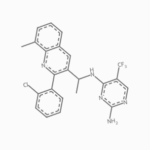 Cc1cccc2cc(C(C)Nc3nc(N)ncc3C(F)(F)F)c(-c3ccccc3Cl)nc12